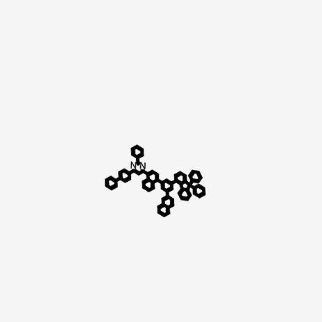 c1ccc(-c2ccc(-c3cc(-c4ccc(-c5cc(-c6ccc7ccccc7c6)cc(-c6cccc7c6-c6ccccc6C7(c6ccccc6)c6ccccc6)c5)c5ccccc45)nc(-c4ccccc4)n3)cc2)cc1